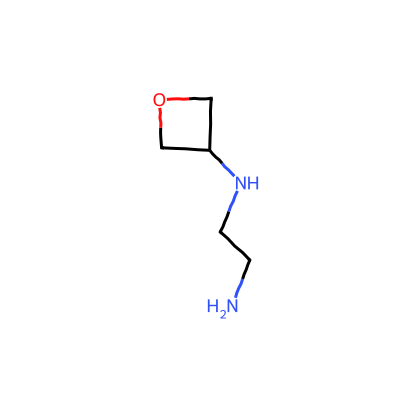 NCCNC1COC1